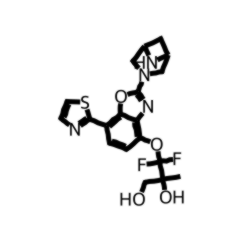 CC(O)(CO)C(F)(F)Oc1ccc(-c2nccs2)c2oc(N3CC4CC(C3)N4)nc12